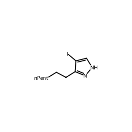 CCCCCCCc1n[nH]cc1I